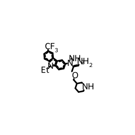 CCn1c2ccc(N(N)/C(=C\N)COCC3CCCNC3)cc2c2cc(C(F)(F)F)ccc21